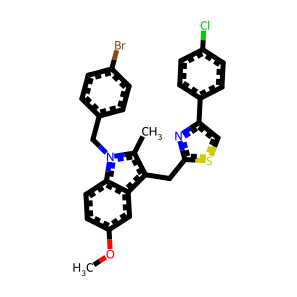 COc1ccc2c(c1)c(Cc1nc(-c3ccc(Cl)cc3)cs1)c(C)n2Cc1ccc(Br)cc1